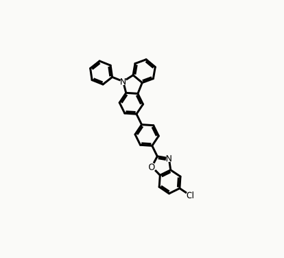 Clc1ccc2oc(-c3ccc(-c4ccc5c(c4)c4ccccc4n5-c4ccccc4)cc3)nc2c1